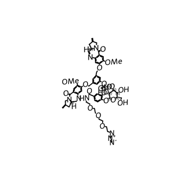 C=C1C[C@H]2C=Nc3cc(OCc4cc(COc5cc6c(cc5OC)C(=O)N5CC(=C)C[C@H]5C=N6)cc(OS(=O)(=O)Oc5cc(C(=O)NCCOCCOCCOCCN=[N+]=[N-])ccc5O[C@@H]5O[C@H](CO)[C@H](O)[C@H](O)[C@H]5O)c4)c(OC)cc3C(=O)N2C1